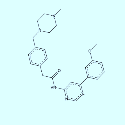 COc1cccc(-c2cc(NC(=O)Cc3ccc(CN4CCN(C)CC4)cc3)ncn2)c1